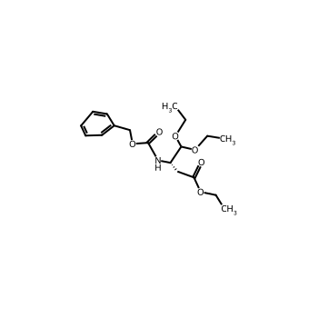 CCOC(=O)C[C@H](NC(=O)OCc1ccccc1)C(OCC)OCC